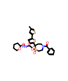 Cc1csc(-c2ccc([C@@]3(CC(=O)NOC4CCCCO4)CCN(C(=O)c4ccccc4)CCS3(=O)=O)s2)c1